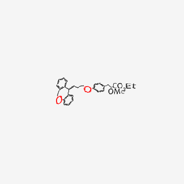 CCOC(=O)C(Cc1ccc(OCCC=C2c3ccccc3COc3ccccc32)cc1)OC